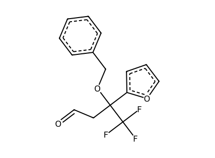 O=CCC(OCc1ccccc1)(c1ccco1)C(F)(F)F